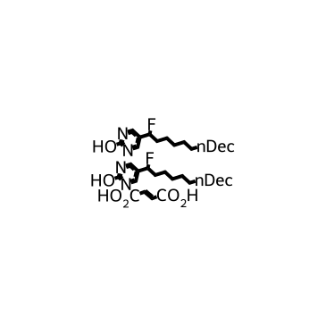 CCCCCCCCCCCCCCCC(F)c1cnc(O)nc1.CCCCCCCCCCCCCCCC(F)c1cnc(O)nc1.O=C(O)/C=C/C(=O)O